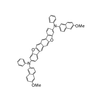 COc1ccc2cc(N(c3ccccc3)c3ccc4c(c3)oc3cc5cc6c(cc5cc34)oc3cc(N(c4ccccc4)c4ccc5cc(OC)ccc5c4)ccc36)ccc2c1